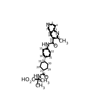 Cc1nc2ccncc2cc1C(=O)Nc1ccc([C@H]2CC[C@@H](C(=O)NC(C)(C)C(=O)O)CC2)cc1